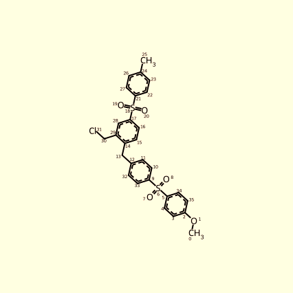 COc1ccc(S(=O)(=O)c2ccc(Cc3ccc(S(=O)(=O)c4ccc(C)cc4)cc3CCl)cc2)cc1